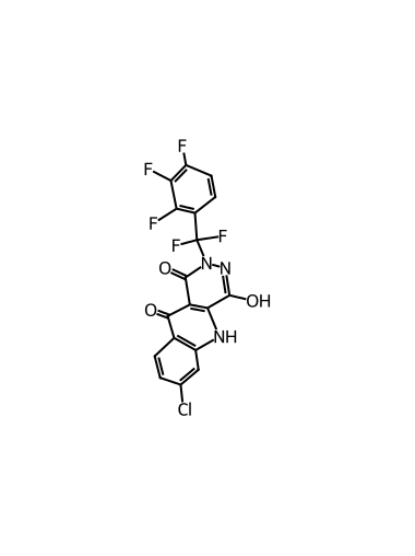 O=c1c2ccc(Cl)cc2[nH]c2c(O)nn(C(F)(F)c3ccc(F)c(F)c3F)c(=O)c12